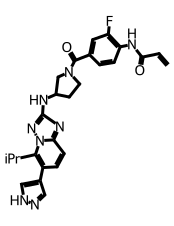 C=CC(=O)Nc1ccc(C(=O)N2CCC(Nc3nc4ccc(-c5cn[nH]c5)c(C(C)C)n4n3)C2)cc1F